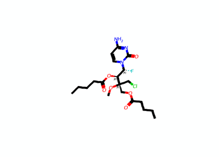 CCCCC(=O)OC[C@@](CCl)(OC)[C@@H](OC(=O)CCCC)[C@@H](F)n1ccc(N)nc1=O